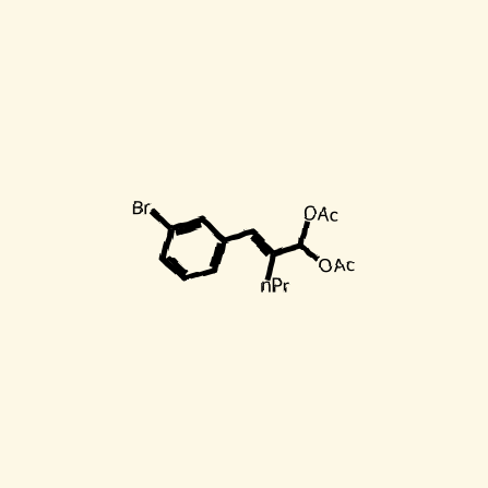 CCC/C(=C\c1cccc(Br)c1)C(OC(C)=O)OC(C)=O